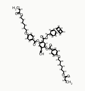 C#Cc1cc(OC(=O)c2ccc(OCCCCCCOC(=O)C=C)cc2)c(C(=O)OCc2ccccc2)cc1OC(=O)c1ccc(OCCCCCCOC(=O)C=C)cc1.c1cc2ccc1-2